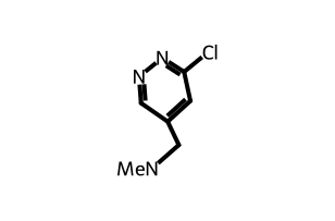 CNCc1cnnc(Cl)c1